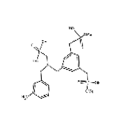 COP(=O)(O)Cc1cc(CN(Cc2cccc(N)c2)CP(=O)(O)O)cc(CP(=O)(O)OC)c1